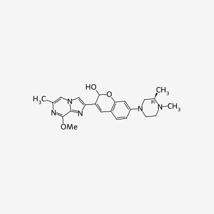 COc1nc(C)cn2cc(C3=Cc4ccc(N5CCN(C)[C@H](C)C5)cc4OC3O)nc12